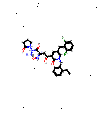 CCc1ccccc1Cn1cc(Cc2c(F)cccc2F)cc(C(=O)/C=C(\N=O)C(=O)N(N)N2CCCC2=O)c1=O